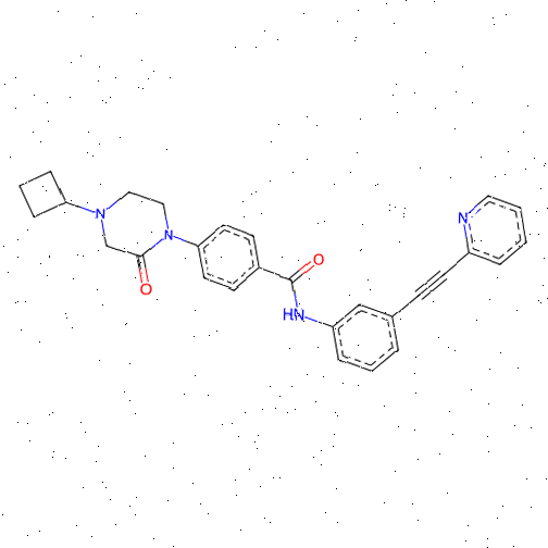 O=C(Nc1cccc(C#Cc2ccccn2)c1)c1ccc(N2CCN(C3CCC3)CC2=O)cc1